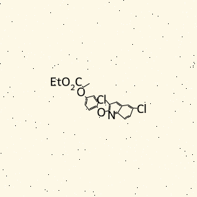 CCOC(=O)C(C)Oc1ccc(Oc2nc3ccc(Cl)cc3cc2Cl)cc1